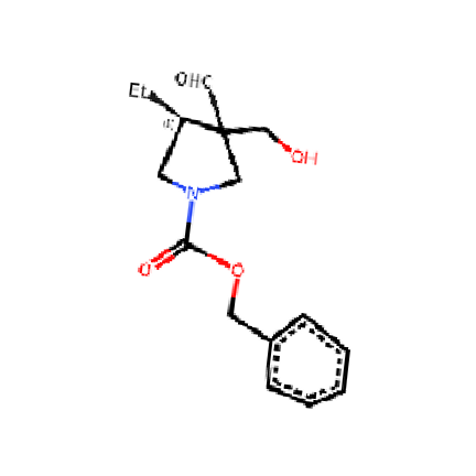 CC[C@@H]1CN(C(=O)OCc2ccccc2)CC1(C=O)CO